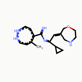 Cc1cc[nH][nH]ccc1C(=N)/N=C(\C=C1/CNCCOC1)C1CC1